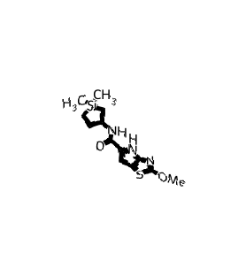 COc1nc2[nH]c(C(=O)NC3CC[Si](C)(C)C3)cc2s1